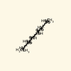 CC(=O)N(O)CCCCCNC(=O)CCC(=O)N(O)CCCCCNC(=O)CCC(=O)N(O)CCCCCNC(C)C